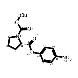 CC(C)(C)OC(=O)N1CCC[C@H]1C(=O)Oc1ccc([N+](=O)[O-])cc1